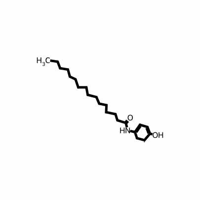 CCCCCCCCCCCCCCCC(=O)NC1=CC=C(O)[CH]C1